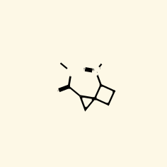 COC(=O)C1CC12CCC2[N+](=O)[O-]